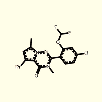 Cc1cc(C(C)C)c2c(=O)n(C)c(-c3ccc(Cl)cc3OC(F)F)nn12